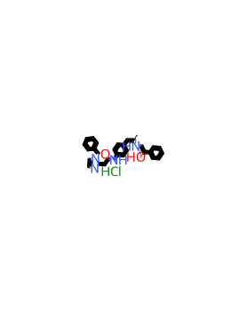 C[C@@H](Cc1ccc(NC(=O)Cc2nccn2Cc2ccccc2)cc1)NC[C@@H](O)c1ccccc1.Cl